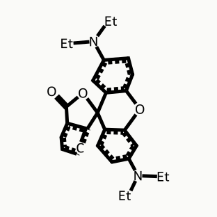 CCN(CC)c1ccc2c(c1)Oc1ccc(N(CC)CC)cc1C21OC(=O)c2ccccc21